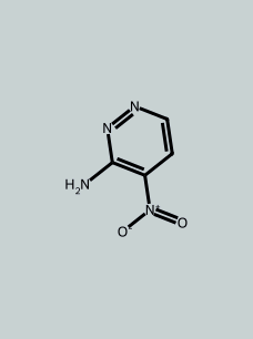 Nc1nnccc1[N+](=O)[O-]